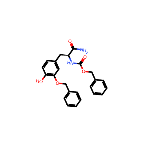 NC(=O)[C@H](Cc1ccc(O)c(OCc2ccccc2)c1)NC(=O)OCc1ccccc1